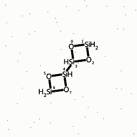 O1[SiH2]O[SiH]1[SiH]1O[SiH2]O1